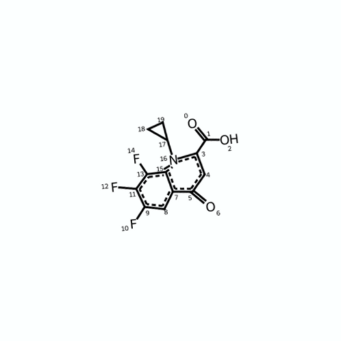 O=C(O)c1cc(=O)c2cc(F)c(F)c(F)c2n1C1CC1